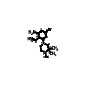 CC(=O)N1CCN(c2cc(Br)cc(N)c2C=N)CC1(C)C